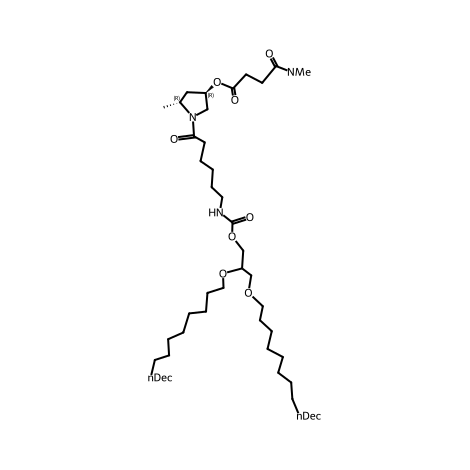 CCCCCCCCCCCCCCCCCCOCC(COC(=O)NCCCCCC(=O)N1C[C@H](OC(=O)CCC(=O)NC)C[C@H]1C)OCCCCCCCCCCCCCCCCCC